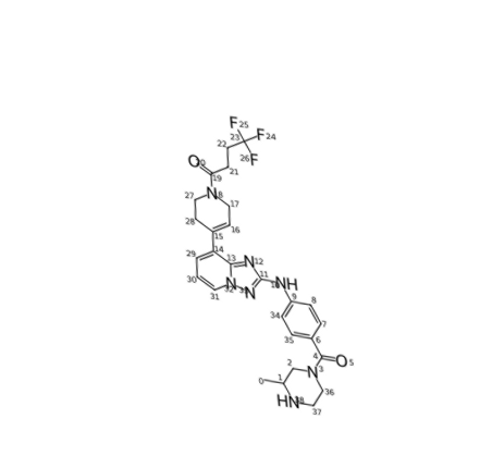 CC1CN(C(=O)c2ccc(Nc3nc4c(C5=CCN(C(=O)CCC(F)(F)F)CC5)cccn4n3)cc2)CCN1